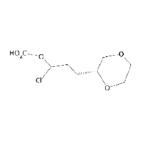 O=C(O)OC(Cl)CC[C@@H]1COCCO1